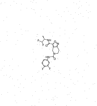 C[C@@H](NC(=O)c1onc2c1CN(C(=O)Nc1ccc(F)c(F)c1)CC2)C(F)F